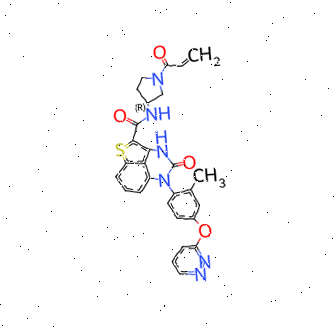 C=CC(=O)N1CC[C@@H](NC(=O)c2sc3cccc4c3c2NC(=O)N4c2ccc(Oc3cccnn3)cc2C)C1